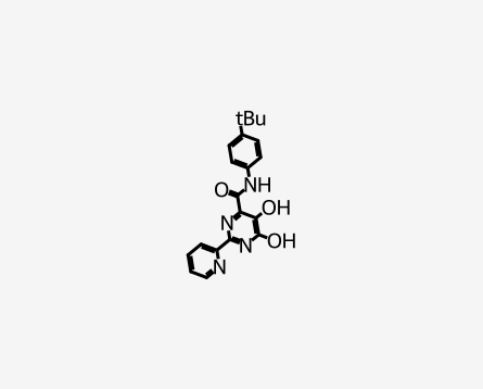 CC(C)(C)c1ccc(NC(=O)c2nc(-c3ccccn3)nc(O)c2O)cc1